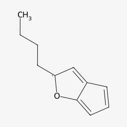 CCCC[C]1C=C2C=CC=C2O1